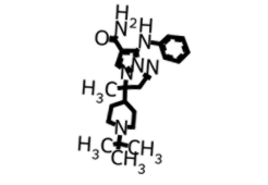 CC(C)(C)N1CCC(C(C)(CC#N)n2cc(C(N)=O)c(Nc3ccccc3)n2)CC1